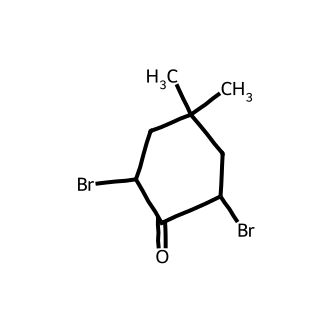 CC1(C)CC(Br)C(=O)C(Br)C1